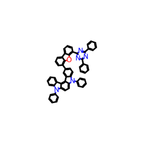 c1ccc(-c2nc(-c3ccccc3)nc(-c3cccc4c3oc3c(-c5ccc6c(c5)c5c7c8ccccc8n(-c8ccccc8)c7ccc5n6-c5ccccc5)cccc34)n2)cc1